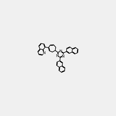 C1=CC(c2cccc3cccnc23)=CCC(c2nc(-c3ccc4ccccc4c3)nc(-c3ccc4ccccc4c3)n2)C1